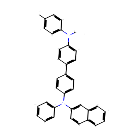 Cc1ccc(N(C)c2ccc(-c3ccc(N(c4ccccc4)c4ccc5ccccc5c4)cc3)cc2)cc1